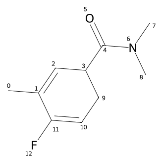 CC1=CC(C(=O)N(C)C)CC=C1F